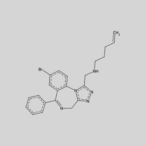 C=CCCCNCc1nnc2n1-c1ccc(Br)cc1C(c1ccccc1)=NC2